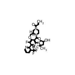 C=CC(=O)N1CCN2C(=O)c3c(N4CC(O)CC4(C)C)nc(-c4ncccc4C(F)(F)F)c(F)c3OC[C@H]2C1